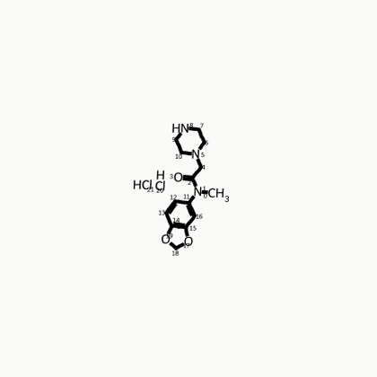 CN(C(=O)CN1CCNCC1)c1ccc2c(c1)OCO2.Cl.Cl